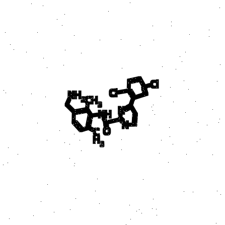 Cc1ccc(CN)c(C)c1NC(=O)c1nccc(-c2cc(Cl)ccc2Cl)n1